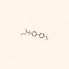 CCOC(=O)C(C)(C)c1ccc(-c2ccc(C=O)cc2)cc1